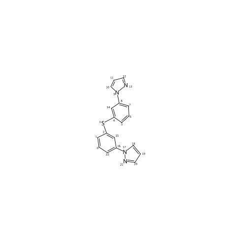 c1cc(Sc2cccc(-n3cccn3)c2)cc(-n2cccn2)c1